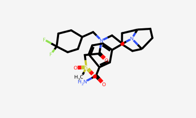 CS(=O)(=O)CC(=O)N(CCN1C2CCC1CC(c1cccc(C(N)=O)c1)C2)CC1CCC(F)(F)CC1